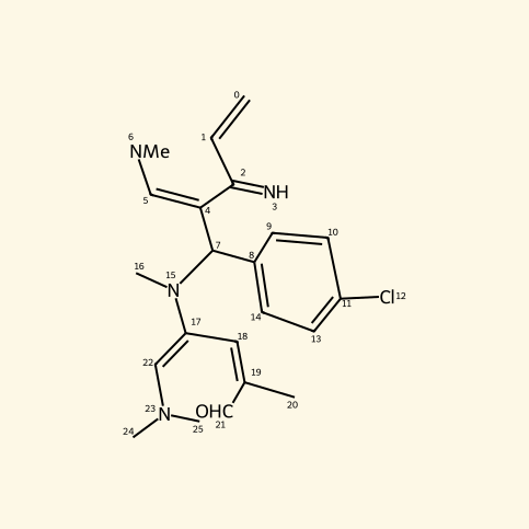 C=CC(=N)/C(=C\NC)C(c1ccc(Cl)cc1)N(C)C(/C=C(/C)C=O)=C/N(C)C